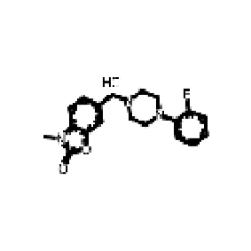 Cl.Cn1c(=O)oc2cc(CN3CCN(c4ccccc4F)CC3)ccc21